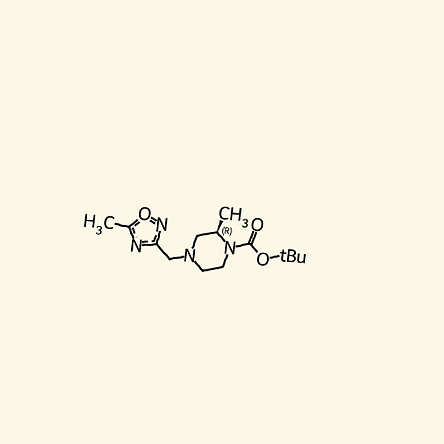 Cc1nc(CN2CCN(C(=O)OC(C)(C)C)[C@H](C)C2)no1